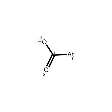 O=C(O)[At]